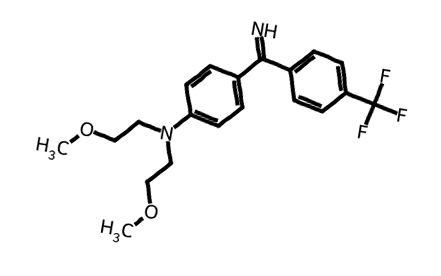 COCCN(CCOC)c1ccc(C(=N)c2ccc(C(F)(F)F)cc2)cc1